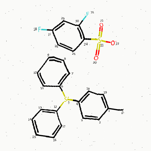 Cc1ccc([S+](c2ccccc2)c2ccccc2)cc1.O=S(=O)([O-])c1ccc(F)cc1F